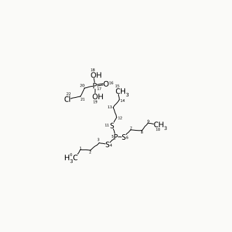 CCCCSP(SCCCC)SCCCC.O=P(O)(O)CCCl